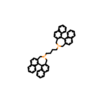 c1ccc2c3c(ccc2c1)CP(CCCCP1Cc2ccc4ccccc4c2-c2c(ccc4ccccc24)C1)Cc1ccc2ccccc2c1-3